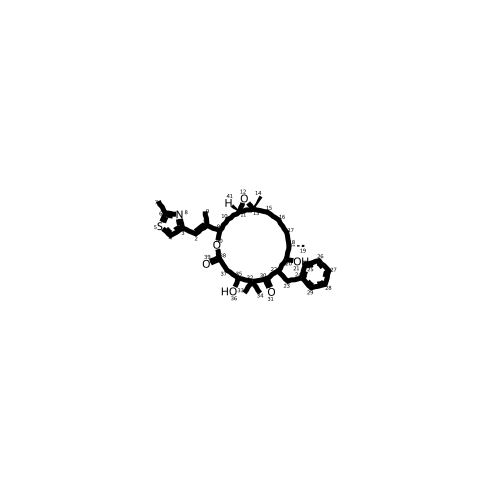 CC(=Cc1csc(C)n1)C1C[C@@H]2O[C@]2(C)CCC[C@H](C)C(O)C(Cc2ccccc2)C(=O)C(C)(C)C(O)CC(=O)O1